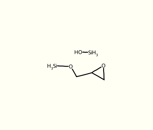 O[SiH3].[SiH3]OCC1CO1